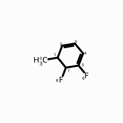 CC1C=CC=C(F)C1F